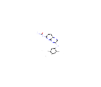 CCNC(=O)Nc1ccc2ncc(Nc3cc(OC)c(OC)cc3C(=O)O)nc2n1